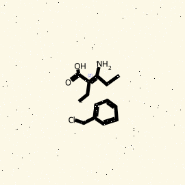 CC/C(N)=C(\CC)C(=O)O.ClCc1ccccc1